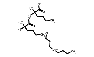 CCCCC(C)(S)C(=O)[O-].CCCCC(C)(S)C(=O)[O-].CCC[CH2][Sn+2][CH2]CCC